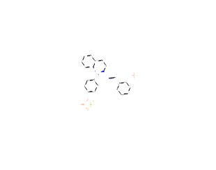 Oc1ccccc1/C=C/c1ccc2ccccc2[n+]1-c1ccccc1.[O-][Cl+3]([O-])([O-])[O-]